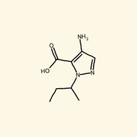 CCC(C)n1ncc(N)c1C(=O)O